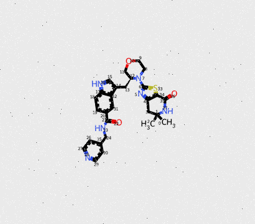 CC1(C)Cc2nc(N3CCOC[C@@H]3Cc3c[nH]c4ccc(C(=O)NCc5ccncc5)cc34)sc2C(=O)N1